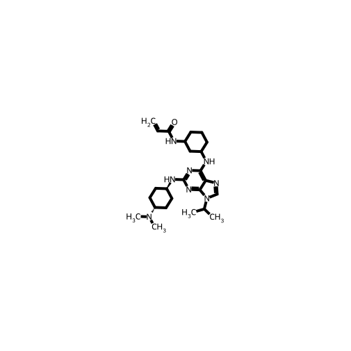 C=CC(=O)NC1CCCC(Nc2nc(N[C@H]3CC[C@H](N(C)C)CC3)nc3c2ncn3C(C)C)C1